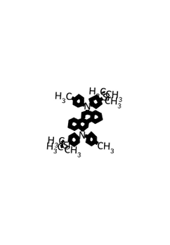 Cc1ccc(N(c2ccc([Si](C)(C)C)cc2)c2cc3c4ccccc4c(N(c4ccc(C)cc4)c4ccc([Si](C)(C)C)cc4)cc3c3ccccc23)cc1